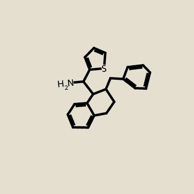 NC(c1cccs1)C1c2ccccc2CCC1Cc1ccccc1